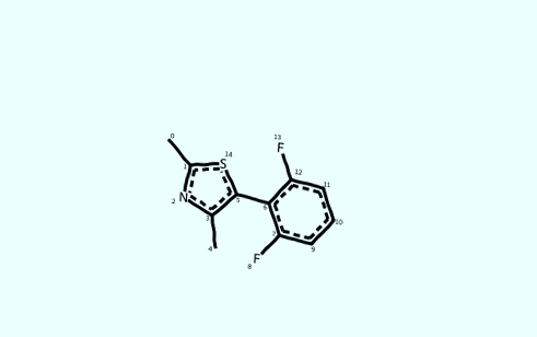 Cc1nc(C)c(-c2c(F)cccc2F)s1